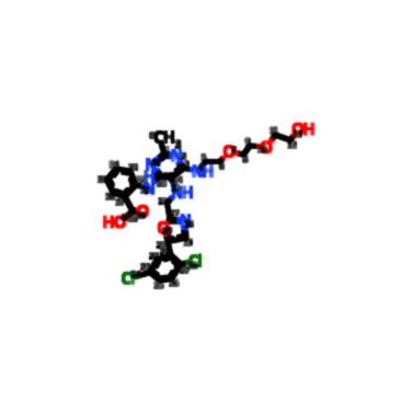 Cc1nc(NCCOCCOCCO)c(NCc2ncc(-c3cc(Cl)ccc3Cl)o2)c(Nc2ccccc2C(=O)O)n1